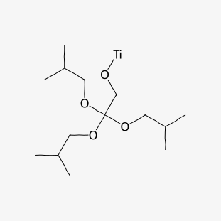 CC(C)COC(C[O][Ti])(OCC(C)C)OCC(C)C